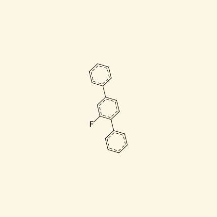 Fc1cc(-c2ccccc2)ccc1-c1ccccc1